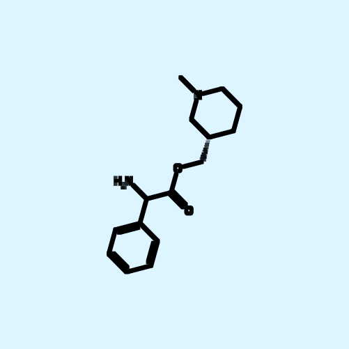 CN1CCC[C@H](COC(=O)C(N)c2ccccc2)C1